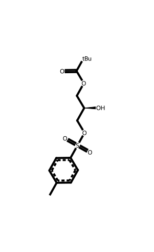 Cc1ccc(S(=O)(=O)OC[C@H](O)COC(=O)C(C)(C)C)cc1